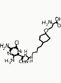 N=C(NCCCCC1CCC(OC[C@H](N)C(=O)O)CC1)NC(=O)c1nc(Cl)c(N)nc1N